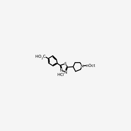 CCCCCCCCN1CCC(c2nnc(-c3ccc(C(=O)O)cc3)s2)CC1.Cl